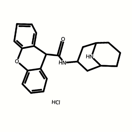 Cl.O=C(NC1CC2CCCC(C1)N2)C1c2ccccc2Oc2ccccc21